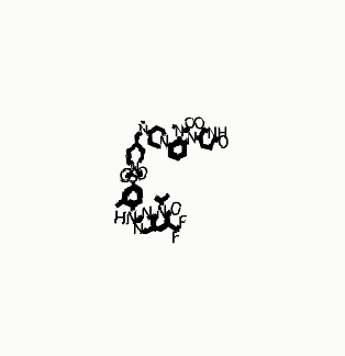 Cc1cc(S(=O)(=O)N2CCC(CN(C)C3CCN(c4cccc5c4n(C)c(=O)n5C4CCC(=O)NC4=O)CC3)CC2)ccc1Nc1ncc2cc(C(F)F)c(=O)n(C(C)C)c2n1